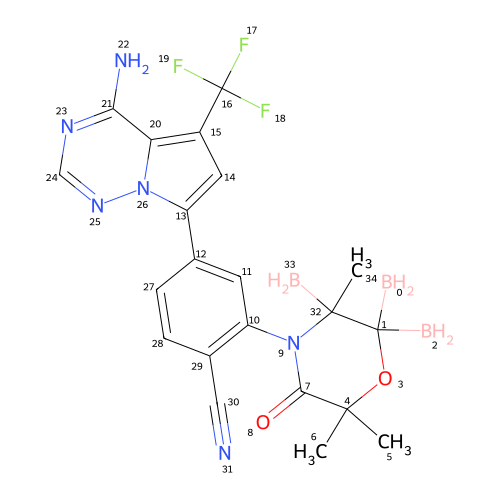 BC1(B)OC(C)(C)C(=O)N(c2cc(-c3cc(C(F)(F)F)c4c(N)ncnn34)ccc2C#N)C1(B)C